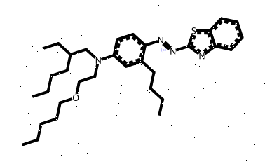 CCCCCOCCN(CC(CC)CCCC)c1ccc(/N=N/c2nc3ccccc3s2)c(CCCC)c1